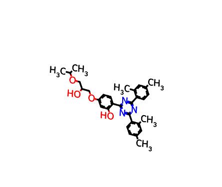 Cc1ccc(-c2nc(-c3ccc(C)cc3C)nc(-c3ccc(OCC(O)COC(C)C)cc3O)n2)c(C)c1